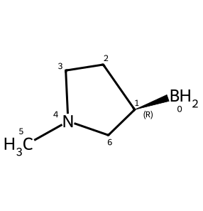 B[C@@H]1CCN(C)C1